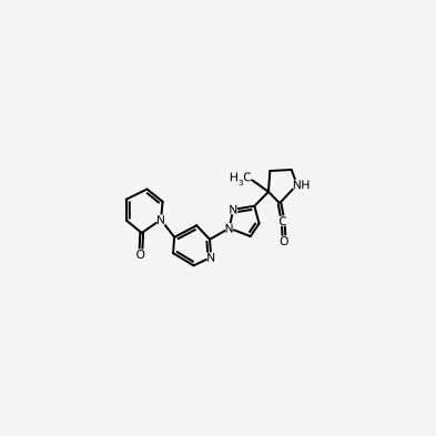 CC1(c2ccn(-c3cc(-n4ccccc4=O)ccn3)n2)CCNC1=C=O